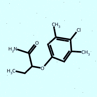 CCC(Oc1cc(C)c(Cl)c(C)c1)C(N)=O